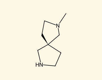 CN1CC[C@]2(CCNC2)C1